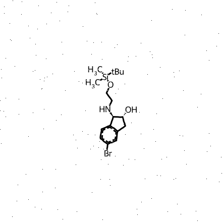 CC(C)(C)[Si](C)(C)OCCN[C@@H]1c2ccc(Br)cc2C[C@H]1O